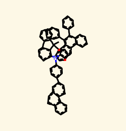 CC1(c2ccccc2)c2ccccc2-c2cccc(N(c3ccc(-c4ccc5c(ccc6ccccc65)c4)cc3)c3ccc4c(c3)c(-c3ccccc3)c(-c3ccccc3)c3ccccc34)c21